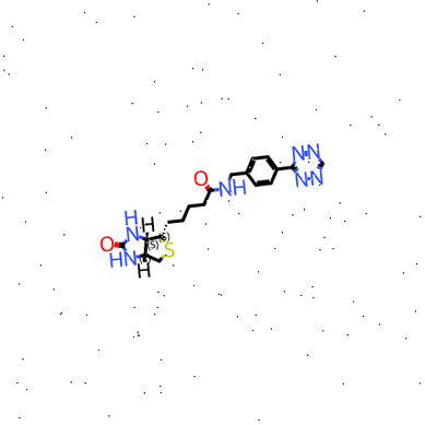 O=C(CCCC[C@@H]1SC[C@@H]2NC(=O)N[C@@H]21)NCc1ccc(-c2nncnn2)cc1